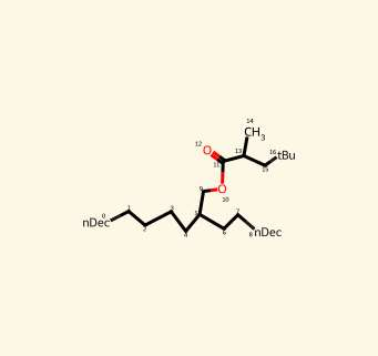 CCCCCCCCCCCCCCC(CCCCCCCCCCCC)COC(=O)C(C)CC(C)(C)C